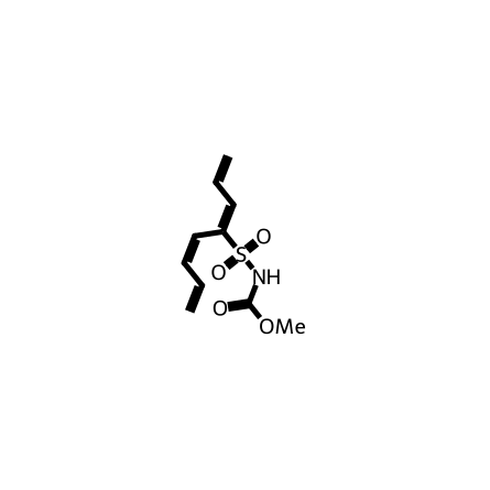 C=C/C=C\C(=C/C=C)S(=O)(=O)NC(=O)OC